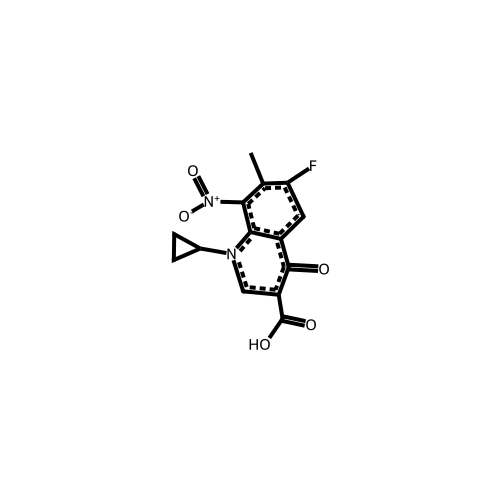 Cc1c(F)cc2c(=O)c(C(=O)O)cn(C3CC3)c2c1[N+](=O)[O-]